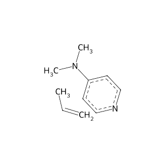 C=CC.CN(C)c1ccncc1